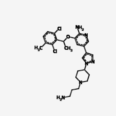 Cc1ccc(Cl)c(C(C)Oc2cc(-c3cnn(C4CCN(CCCN)CC4)c3)cnc2N)c1Cl